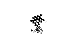 COC(=O)[C@H]1CN(C(=O)OC(C)(C)C)CCN1c1c([N+](=O)[O-])cnc2cc(Br)c(Cl)cc12